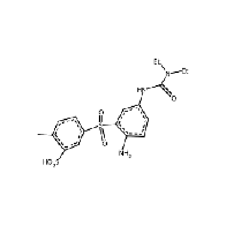 CCN(CC)C(=O)Nc1ccc(N)c(S(=O)(=O)c2ccc(C)c(S(=O)(=O)O)c2)c1